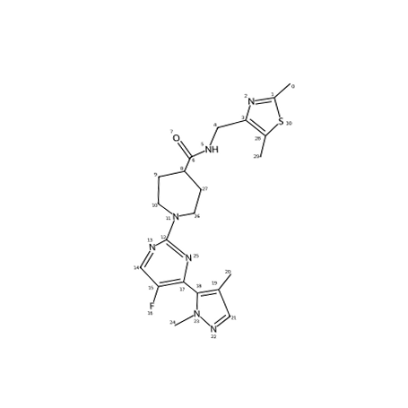 Cc1nc(CNC(=O)C2CCN(c3ncc(F)c(-c4c(C)cnn4C)n3)CC2)c(C)s1